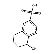 O=S(=O)(O)c1ccc2c(c1)CCCC2O